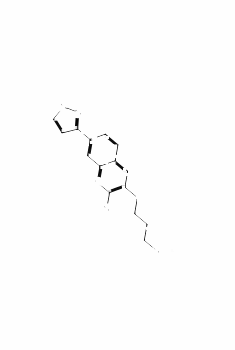 CC(=O)NCCCCc1cc2ccc(-c3cc[nH]n3)cc2nc1N